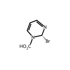 O=C(O)N1C=CC=N[C@@H]1Br